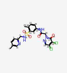 Cc1ccc(CNS(=O)(=O)c2cc(NC(=O)Cn3ncc(Cl)c(Cl)c3=O)ccc2C)nc1